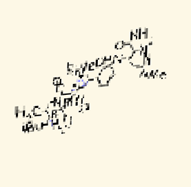 BC(B)(C1CCC1)N(CC(=C)/C=C\C(C)CC)C(=C=O)/C(C)=N/C=C(\C=C\CC)c1cccc(Nc2cc(NC)nnc2C(N)=O)c1OC